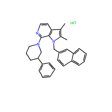 Cc1c(C)n(Cc2ccc3ccccc3c2)c2c(N3CCCC(c4ccccc4)C3)nccc12.Cl